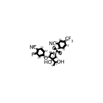 CC(O)[C@@]1(O)CN(S(=O)(=O)c2ccc(C(F)(F)F)cc2C#N)C[C@@H]1Oc1ccc(C#N)c(F)c1